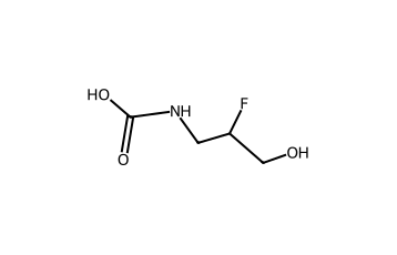 O=C(O)NCC(F)CO